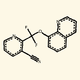 N#Cc1cccnc1C(F)(F)Oc1cccc2cccnc12